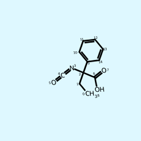 CCC(N=C=O)(C(=O)O)c1ccccc1